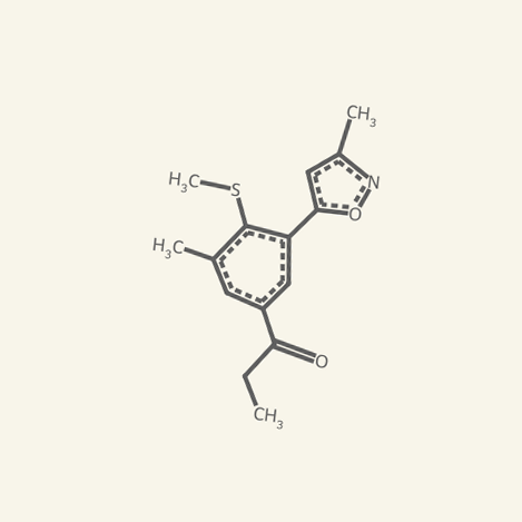 CCC(=O)c1cc(C)c(SC)c(-c2cc(C)no2)c1